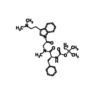 CN(C)CCc1cn(C(=O)CN(C)C(=O)[C@H](Cc2ccccc2)NC(=O)OC(C)(C)C)c2ccccc12